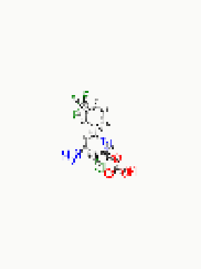 Nc1cc(-c2cccc(C(F)(F)F)c2)nc(OC(=O)O)c1Cl